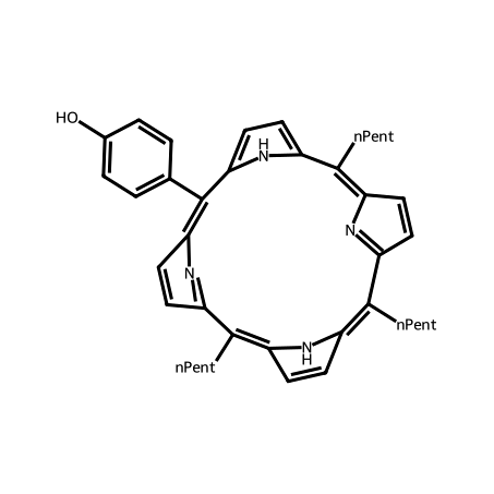 CCCCCc1c2nc(c(CCCCC)c3ccc([nH]3)c(-c3ccc(O)cc3)c3nc(c(CCCCC)c4ccc1[nH]4)C=C3)C=C2